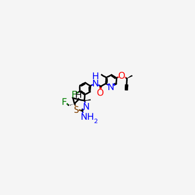 C#C[C@H](C)Oc1cnc(C(=O)Nc2ccc(F)c([C@]3(C)N=C(N)S[C@@]4(CF)C[C@H]43)c2)c(C)c1